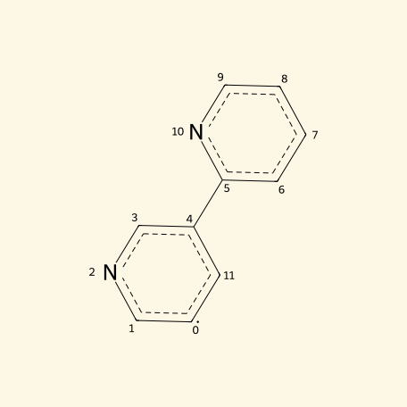 [c]1cncc(-c2ccccn2)c1